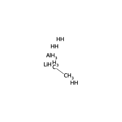 CC.[AlH3].[HH].[HH].[HH].[LiH]